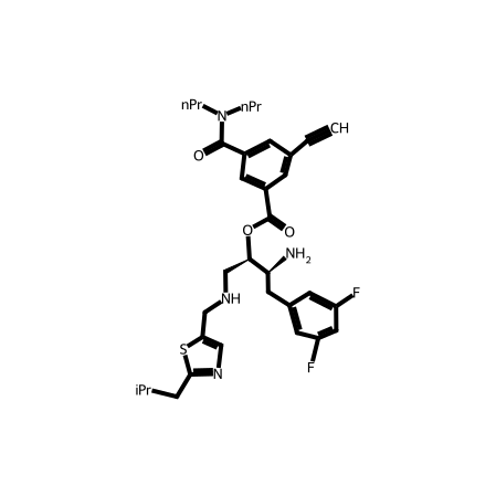 C#Cc1cc(C(=O)O[C@H](CNCc2cnc(CC(C)C)s2)[C@@H](N)Cc2cc(F)cc(F)c2)cc(C(=O)N(CCC)CCC)c1